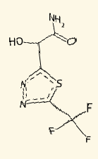 NC(=O)C(O)c1nnc(C(F)(F)F)s1